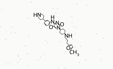 Cc1ccc(CCCN[C@H]2CC[C@H](n3cc4c(nc3=O)Nc3cc(C5CCNCC5)ccc3O4)CC2)o1